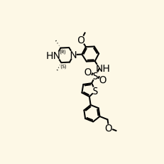 COCc1cccc(-c2ccc(S(=O)(=O)Nc3ccc(OC)c(N4C[C@@H](C)N[C@@H](C)C4)c3)s2)c1